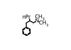 CCCC([CH]N(C)C)Cc1ccccc1